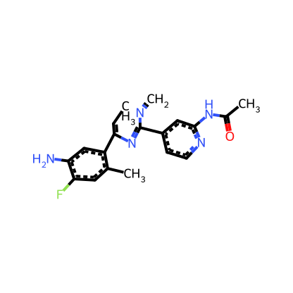 C=N/C(=N\C(=C/C)c1cc(N)c(F)cc1C)c1ccnc(NC(C)=O)c1